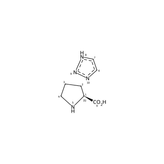 O=C(O)[C@@H]1CCCN1.c1c[nH]nn1